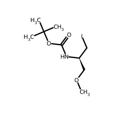 COC[C@H](CI)NC(=O)OC(C)(C)C